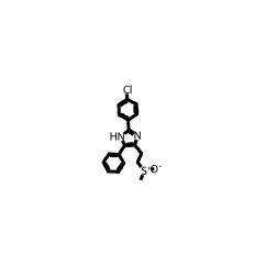 C[S+]([O-])CCc1nc(-c2ccc(Cl)cc2)[nH]c1-c1ccccc1